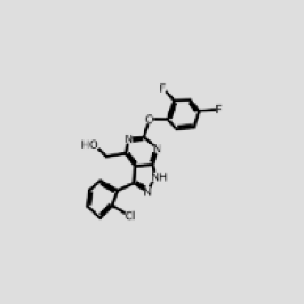 OCc1nc(Oc2ccc(F)cc2F)nc2[nH]nc(-c3ccccc3Cl)c12